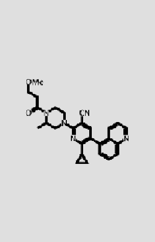 COCCC(=O)N1CCN(c2nc(C3CC3)c(-c3cccc4ncccc34)cc2C#N)CC1C